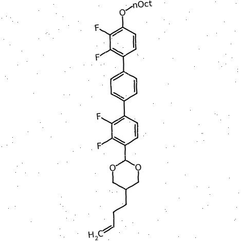 C=CCCC1COC(c2ccc(-c3ccc(-c4ccc(OCCCCCCCC)c(F)c4F)cc3)c(F)c2F)OC1